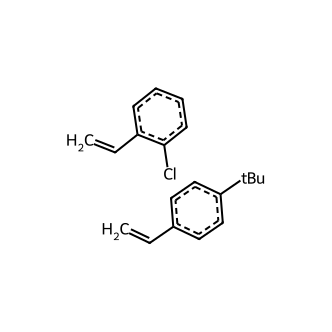 C=Cc1ccc(C(C)(C)C)cc1.C=Cc1ccccc1Cl